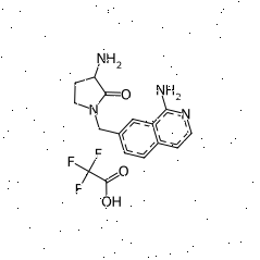 Nc1nccc2ccc(CN3CCC(N)C3=O)cc12.O=C(O)C(F)(F)F